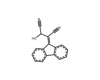 N#CC(=C1c2ccccc2-c2ccccc21)C(O)C#N